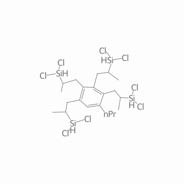 CCCc1cc(CC(C)[SiH](Cl)Cl)c(CC(C)[SiH](Cl)Cl)c(CC(C)[SiH](Cl)Cl)c1CC(C)[SiH](Cl)Cl